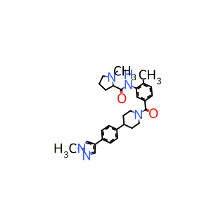 Cc1ccc(C(=O)N2CCC(c3ccc(-c4cnn(C)c4)cc3)CC2)cc1NC(=O)C1CCCN1C